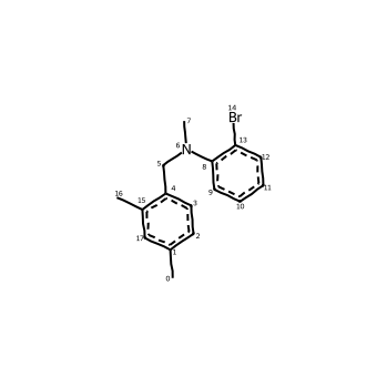 Cc1ccc(CN(C)c2ccccc2Br)c(C)c1